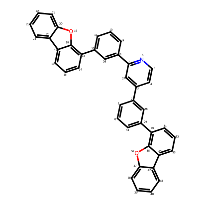 c1cc(-c2ccnc(-c3cccc(-c4cccc5c4oc4ccccc45)c3)c2)cc(-c2cccc3c2oc2ccccc23)c1